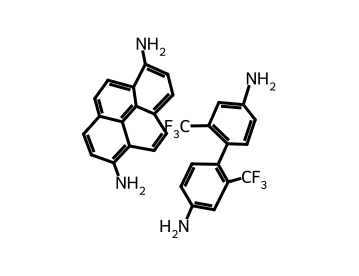 Nc1ccc(-c2ccc(N)cc2C(F)(F)F)c(C(F)(F)F)c1.Nc1ccc2ccc3c(N)ccc4ccc1c2c43